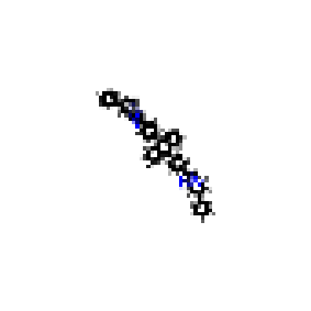 c1ccc(-c2ccn3cc(-c4ccc(-c5c6ccccc6c(-c6ccc(-c7cn8ccc(-c9ccccc9)cc8n7)cc6)c6ccccc56)cc4)nc3c2)cc1